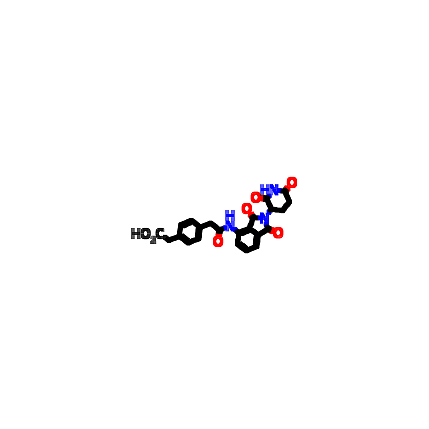 O=C(O)Cc1ccc(CC(=O)Nc2cccc3c2C(=O)N(C2CCC(=O)NC2=O)C3=O)cc1